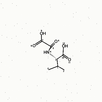 CC(C)[C@H](NC(=O)C(=O)O)C(=O)O